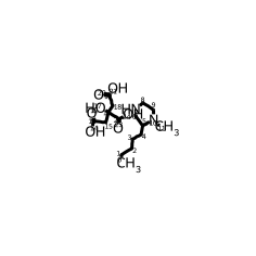 CCCCCC1CNCCN1C.O=C(O)CC(O)(CC(=O)O)C(=O)O